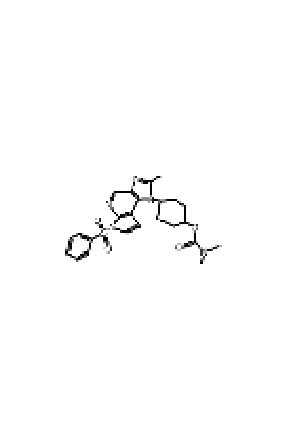 Cc1nc2cnc3c(ccn3S(=O)(=O)c3ccccc3)c2n1C1CCC(OC(=O)N(C)C)CC1